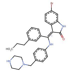 O=C(O)CCc1cccc(/C(Nc2ccc(CN3CCNCC3)cc2)=C2/C(=O)Nc3cc(Br)ccc32)c1